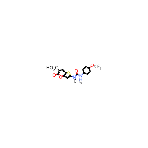 CN(C(=O)Nc1ccc(OC(F)(F)F)cc1)c1cc2oc(=O)c(C(=O)O)cc2s1